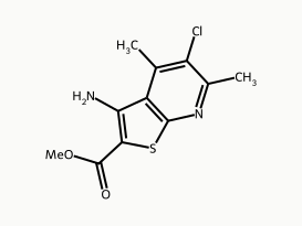 COC(=O)c1sc2nc(C)c(Cl)c(C)c2c1N